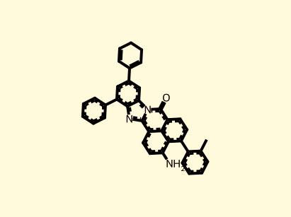 Cc1ccccc1-c1ccc2c(=O)n3c4cc(C5=CCCC=C5)cc(-c5ccccc5)c4nc3c3ccc(N)c1c23